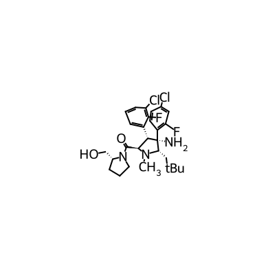 CN1[C@@H](CC(C)(C)C)[C@](N)(c2ccc(Cl)cc2F)[C@@H](c2cccc(Cl)c2F)[C@@H]1C(=O)N1CCC[C@@H]1CO